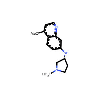 COc1ccnc2cc(N[C@@H]3CCN(C(=O)O)C3)ccc12